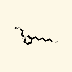 CCCCCCCCCCCCCCCc1ccc[n+](CCCCCCCCCCCC)c1